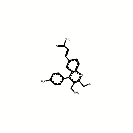 Cc1ccc(-c2c(CN)c(CC(C)C)nc3ccc(C=CC(N)=O)cc23)cc1